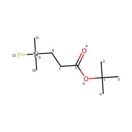 CC(C)(C)OC(=O)CC[Si](C)(C)F